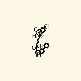 CC(C)CC(C(=O)NCCCCNS(=O)(=O)c1ccc(Cl)cc1Cl)c1cccc(-c2ccccc2)c1